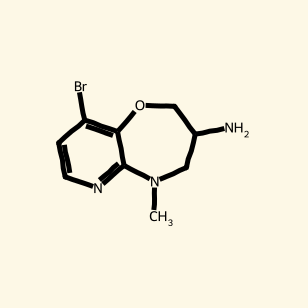 CN1CC(N)COc2c(Br)ccnc21